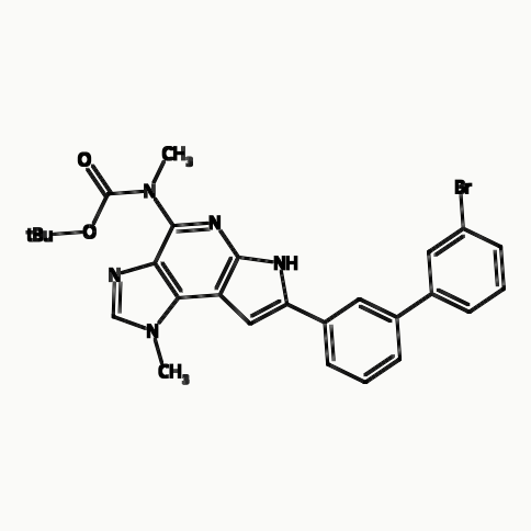 CN(C(=O)OC(C)(C)C)c1nc2[nH]c(-c3cccc(-c4cccc(Br)c4)c3)cc2c2c1ncn2C